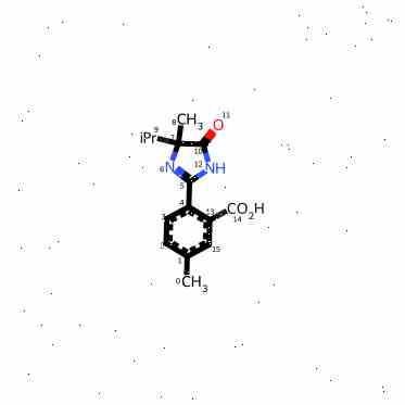 Cc1ccc(C2=NC(C)(C(C)C)C(=O)N2)c(C(=O)O)c1